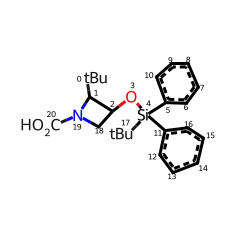 CC(C)(C)C1C(O[Si](c2ccccc2)(c2ccccc2)C(C)(C)C)CN1C(=O)O